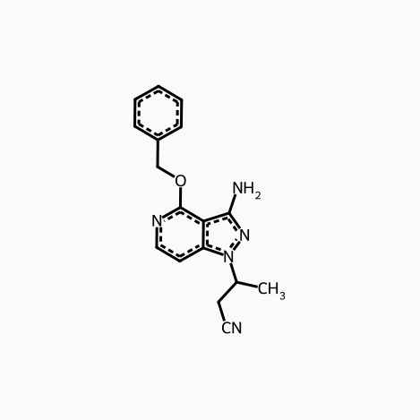 CC(CC#N)n1nc(N)c2c(OCc3ccccc3)nccc21